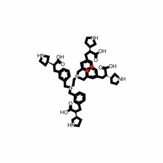 O=C(O)C(Cc1cccc(CN(CCN(Cc2cccc(CC(C(=O)O)[C@H]3CCNC3)c2)Cc2cccc(CC(C(=O)O)[C@H]3CCNC3)c2)Cc2cccc(CC(C(=O)O)[C@H]3CCNC3)c2)c1)[C@H]1CCNC1